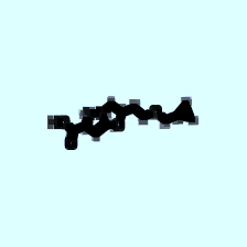 O=C(O)c1cc2n(n1)CC(CCOCC1CC1)O2